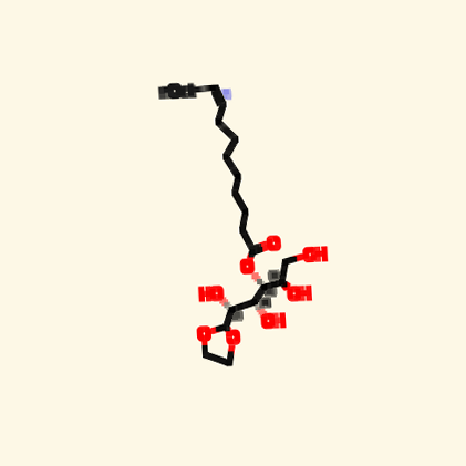 CCCCCCCC/C=C\CCCCCCCC(=O)O[C@@H]([C@H](O)[C@@H](O)C1OCCO1)[C@H](O)CO